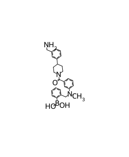 CN(Cc1ccccc1B(O)O)c1cccc(C(=O)N2CCC(c3cccc(CN)c3)CC2)c1